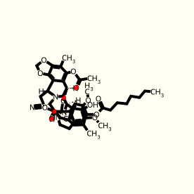 CCCCCCCC(=O)Oc1cc2c(cc1OC)[C@@]1(CS[C@@H]3c4c(OC(C)=O)c(C)c5c(c4[C@H](COC1=O)N1C3[C@H]3c4c(cc(C)c(OC)c4O)C[C@H]([C@@H]1C#N)N3C)OCO5)NCC2